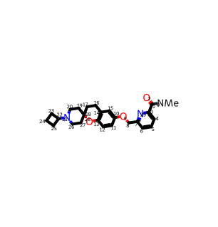 CNC(=O)c1cccc(COc2ccc3c(c2)CCC2(CCN(C4CCC4)CC2)O3)n1